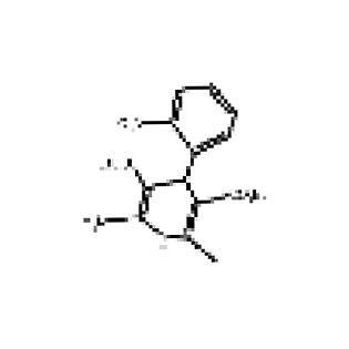 CCOC(=O)C1=C(C)NC(N)=C(C(=O)OCC)C1c1ccccc1[N+](=O)[O-]